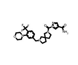 NC(=O)c1cnn(C(=O)N2CCC3(CCN(Cc4ccc(C(F)(F)F)c(N5CCOCC5)c4)C3)C2)c1